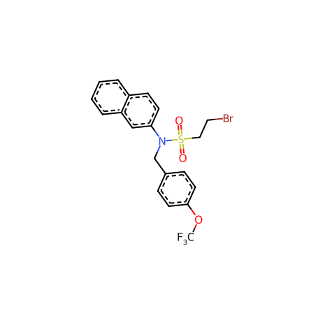 O=S(=O)(CCBr)N(Cc1ccc(OC(F)(F)F)cc1)c1ccc2ccccc2c1